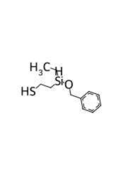 CC[SiH](CCS)OCc1ccccc1